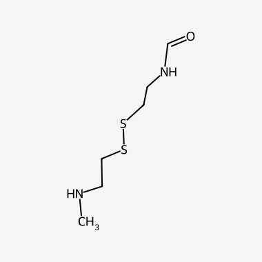 CNCCSSCCNC=O